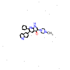 CN1CCN(c2c[nH]c3nc(-c4ccccc4)c(-c4ccc5ncccc5c4)cc3c2=O)CC1